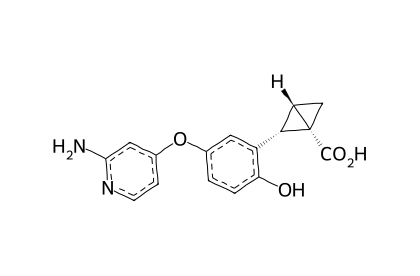 Nc1cc(Oc2ccc(O)c([C@@H]3[C@@H]4C[C@@]34C(=O)O)c2)ccn1